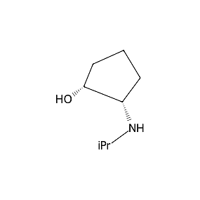 CC(C)N[C@H]1CCC[C@H]1O